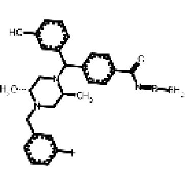 BB=NC(=O)c1ccc(C(c2cccc(O)c2)N2C[C@@H](C)N(Cc3cccc(F)c3)C[C@@H]2C)cc1